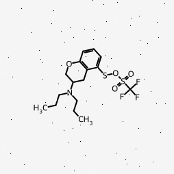 CCCN(CCC)C1COc2cccc(SOS(=O)(=O)C(F)(F)F)c2C1